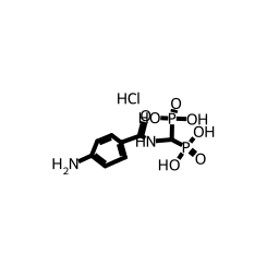 Cl.Nc1ccc(C(=O)NC(P(=O)(O)O)P(=O)(O)O)cc1